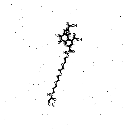 CCC(=O)NCCCOCCOCCOCCONC(=O)c1cc(C(=O)O)c2c(n1)C(=O)C(=O)c1cc(C(=O)O)[nH]c1-2